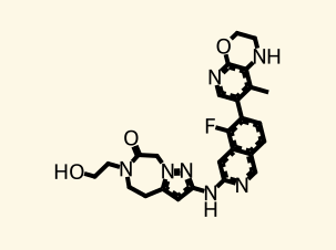 Cc1c(-c2ccc3cnc(Nc4cc5n(n4)CC(=O)N(CCO)CC5)cc3c2F)cnc2c1NCCO2